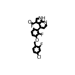 O=Cc1c[nH]c2nccc(-c3c(F)ccc(OCc4ccc(Cl)cc4F)c3F)c12